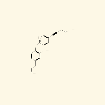 CCCc1ccc(Oc2ccc(C#CCCO)cn2)c(O)c1